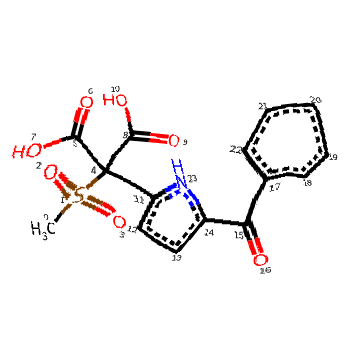 CS(=O)(=O)C(C(=O)O)(C(=O)O)c1ccc(C(=O)c2ccccc2)[nH]1